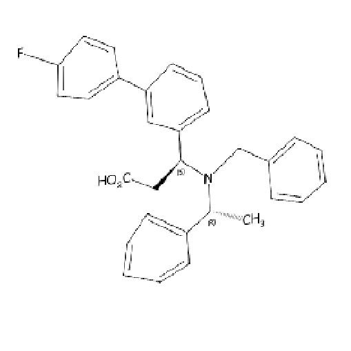 C[C@H](c1ccccc1)N(Cc1ccccc1)[C@@H](CC(=O)O)c1cccc(-c2ccc(F)cc2)c1